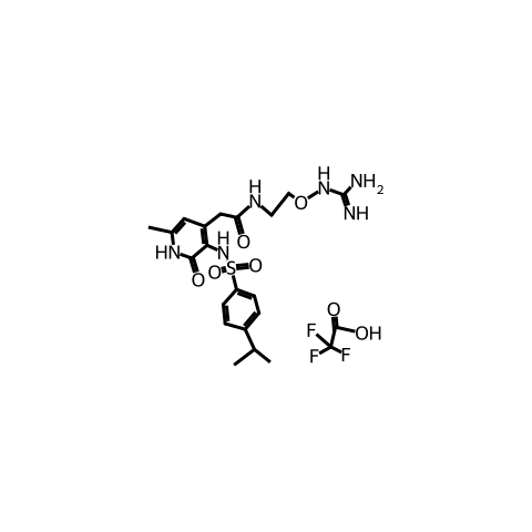 Cc1cc(CC(=O)NCCONC(=N)N)c(NS(=O)(=O)c2ccc(C(C)C)cc2)c(=O)[nH]1.O=C(O)C(F)(F)F